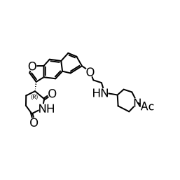 CC(=O)N1CCC(NCCOc2ccc3cc4occ([C@H]5CCC(=O)NC5=O)c4cc3c2)CC1